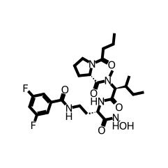 CCCC(=O)N1CCC[C@H]1C(=O)N(C)[C@H](C(=O)N[C@@H](CCNC(=O)c1cc(F)cc(F)c1)C(=O)NO)C(C)CC